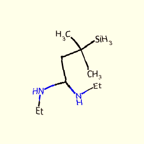 CCNC(CC(C)(C)[SiH3])NCC